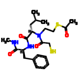 CNC(=O)[C@H](Cc1ccccc1)NC(=O)[C@H](CC(C)C)N(CCSC(C)=O)C(=O)CS